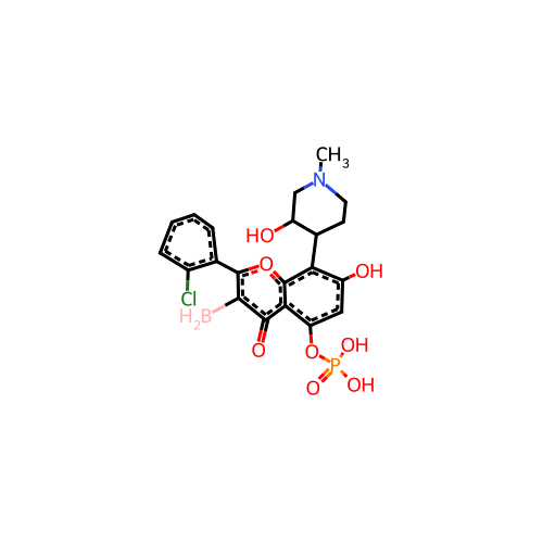 Bc1c(-c2ccccc2Cl)oc2c(C3CCN(C)CC3O)c(O)cc(OP(=O)(O)O)c2c1=O